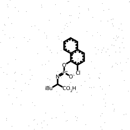 CCC(C)C(/N=[P+](\[O-])Oc1c(Cl)ccc2ccccc12)C(=O)O